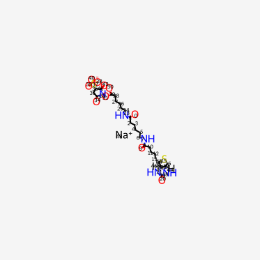 O=C(CCCCCNC(=O)CCCC[C@@H]1SC[C@@H]2NC(=O)N[C@@H]21)NCCCCCC(=O)ON1C(=O)CC(S(=O)(=O)[O-])C1=O.[Na+]